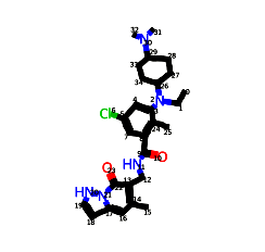 CCN(c1cc(Cl)cc(C(=O)NCc2c(C)cc3cc[nH]n3c2=O)c1C)C1CCC(N(C)C)CC1